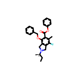 CC[C@@H](C)N1Cc2c(F)c(C)c(C(=O)Oc3ccccc3)c(OCc3ccccc3)c2C1